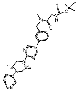 C[C@@H]1CN(c2ncc(-c3cccc(CN(C)C(=O)CNC(=O)OC(C)(C)C)c3)cn2)[C@@H](C)CN1c1cccnc1